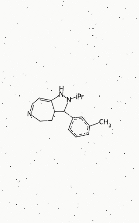 Cc1cccc(C2C3CCN=CC=C3NN2C(C)C)c1